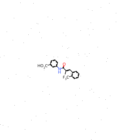 CC(=Cc1ccccc1C(F)(F)F)C(=O)Nc1cccc(C(=O)O)c1